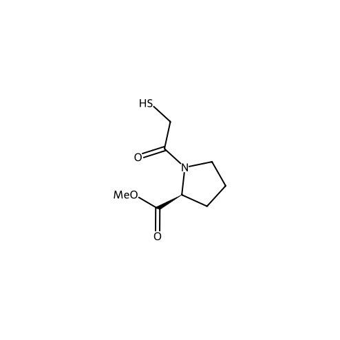 COC(=O)[C@@H]1CCCN1C(=O)CS